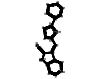 O=C1Nc2ccncc2C1=Cc1ccc(-c2ccccc2)s1